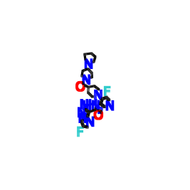 Nc1nn2cc(F)cnc2c1C(=O)Nc1cncc(F)c1N1CCC(C(=O)N2CCC(N3CCCCC3)CC2)CC1